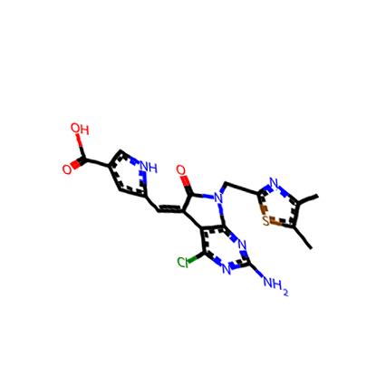 Cc1nc(CN2C(=O)/C(=C\c3cc(C(=O)O)c[nH]3)c3c(Cl)nc(N)nc32)sc1C